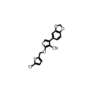 N#Cc1c(-c2ccc3c(c2)OCO3)csc1OCc1ccc(Cl)s1